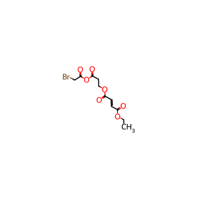 CCOC(=O)/C=C/C(=O)OCCC(=O)OC(=O)CBr